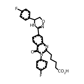 O=C(O)CCCCc1nc2cc(C3=NOCC(c4ccc(F)cc4)N3)ccc2c(=O)n1-c1ccc(F)cc1